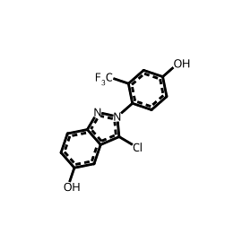 Oc1ccc(-n2nc3ccc(O)cc3c2Cl)c(C(F)(F)F)c1